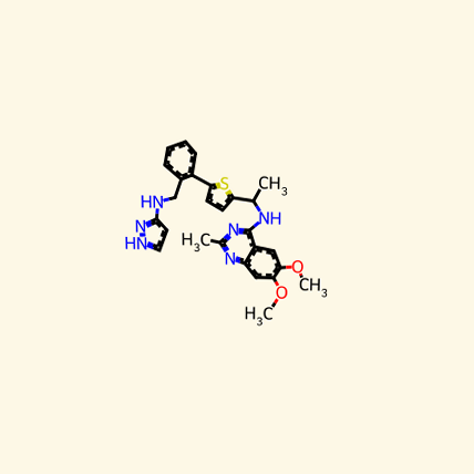 COc1cc2nc(C)nc(NC(C)c3ccc(-c4ccccc4CNc4cc[nH]n4)s3)c2cc1OC